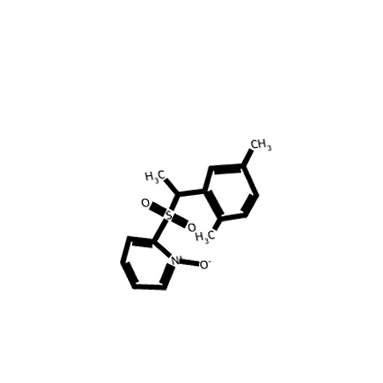 Cc1ccc(C)c(C(C)S(=O)(=O)c2cccc[n+]2[O-])c1